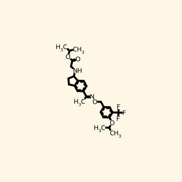 C/C(=N\OCc1ccc(OC(C)C)c(C(F)(F)F)c1)c1ccc2c(c1)CCC2NCC(=O)OC(C)C